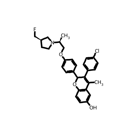 CC1=C(c2ccc(Cl)cc2)C(c2ccc(OC[C@H](C)N3CC[C@@H](CF)C3)cc2)Oc2ccc(O)cc21